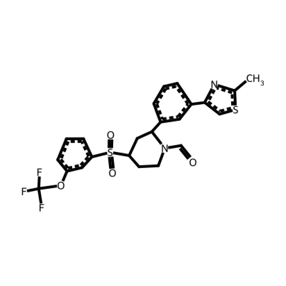 Cc1nc(-c2cccc(C3CC(S(=O)(=O)c4cccc(OC(F)(F)F)c4)CCN3C=O)c2)cs1